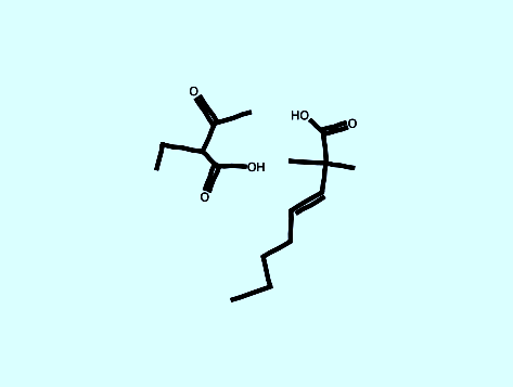 CCC(C(C)=O)C(=O)O.CCCC/C=C/C(C)(C)C(=O)O